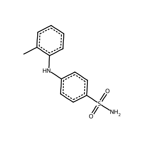 Cc1ccccc1Nc1ccc(S(N)(=O)=O)cc1